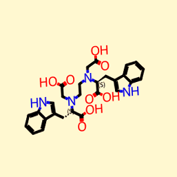 O=C(O)CN(CCN(CC(=O)O)[C@@H](Cc1c[nH]c2ccccc12)C(=O)O)[C@@H](Cc1c[nH]c2ccccc12)C(=O)O